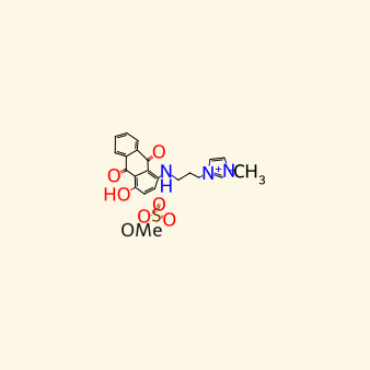 COS(=O)(=O)[O-].Cn1cc[n+](CCCNc2ccc(O)c3c2C(=O)c2ccccc2C3=O)c1